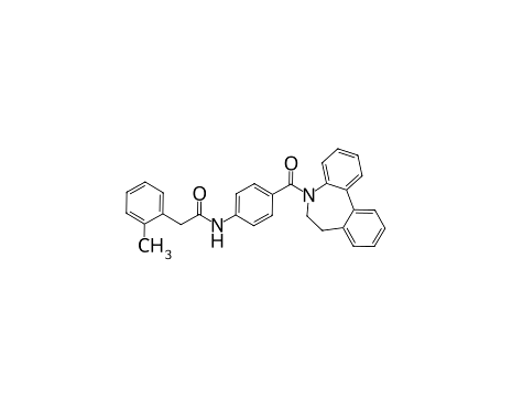 Cc1ccccc1CC(=O)Nc1ccc(C(=O)N2CCc3ccccc3-c3ccccc32)cc1